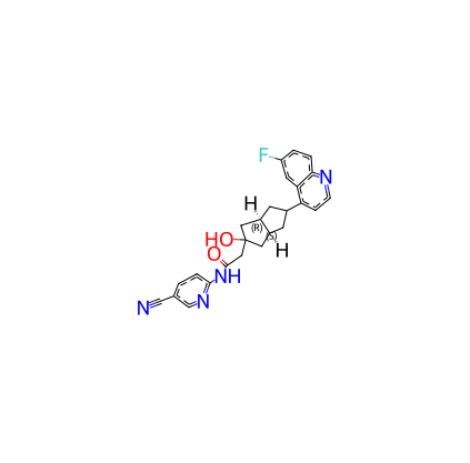 N#Cc1ccc(NC(=O)CC2(O)C[C@H]3CC(c4ccnc5ccc(F)cc45)C[C@H]3C2)nc1